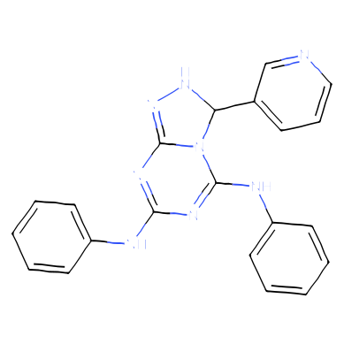 c1ccc(NC2=NC3=NNC(c4cccnc4)N3C(Nc3ccccc3)=N2)cc1